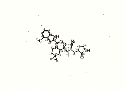 COc1cccc2[nH]c(C(=O)N3CCC4(CC4)CC3C(=O)NC(C#N)CC3CCNC3=O)cc12